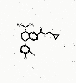 CN(C)[C@H]1CC[C@@H](c2ccc(Cl)c(Cl)c2)c2ccc(C(=O)NCC3CC3)cc21